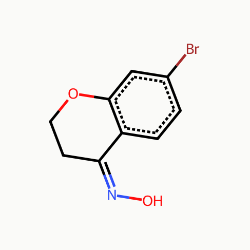 O/N=C1/CCOc2cc(Br)ccc21